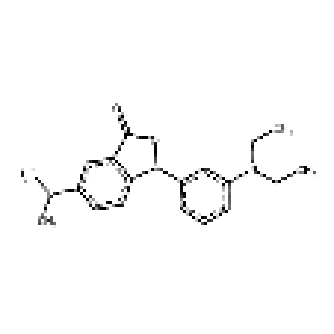 CCN(CC)c1cccc(C2OC(=O)c3cc(N(C)C)ccc32)c1